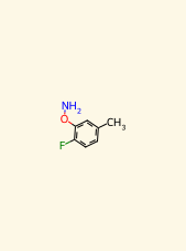 Cc1ccc(F)c(ON)c1